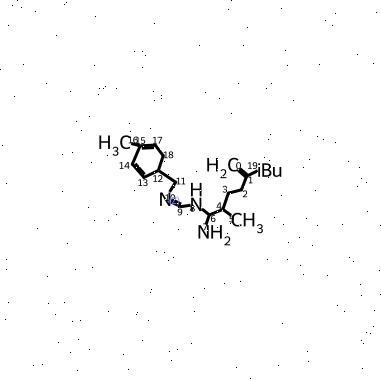 C=C(CCC(C)C(N)N/C=N\CC1C=CC(C)=CC1)C(C)CC